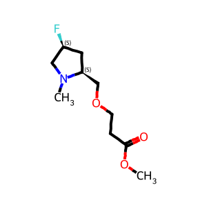 COC(=O)CCOC[C@@H]1C[C@H](F)CN1C